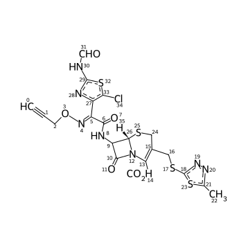 C#CCON=C(C(=O)NC1C(=O)N2C(C(=O)O)=C(CSc3nnc(C)s3)CS[C@@H]12)c1nc(NC=O)sc1Cl